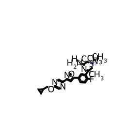 C/N=S1/C[C@@](C)(c2cc(-c3cc(-c4cnc(OCC5CC5)cn4)no3)ccc2F)N=C(N)C1(C)C